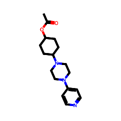 CC(=O)OC1CCC(N2CCN(c3ccncc3)CC2)CC1